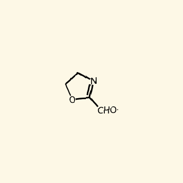 O=[C]C1=NCCO1